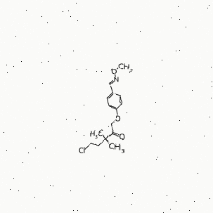 CON=Cc1ccc(OCC(=O)C(C)(C)CCCl)cc1